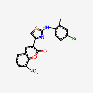 Cc1cc(Br)ccc1Nc1nc(-c2cc3cccc([N+](=O)[O-])c3oc2=O)cs1